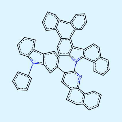 c1ccc(-n2c3ccccc3c3ccc(-c4cc5ccc6ccccc6c5nc4-n4c5ccc6c7ccccc7c7ccccc7c6c5c5ccc6ccccc6c54)cc32)cc1